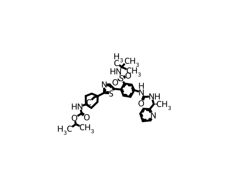 CC(C)OC(=O)NC12CCC(c3ncc(-c4ccc(NC(=O)N[C@H](C)c5ccccn5)cc4S(=O)(=O)NC(C)(C)C)s3)(CC1)CC2